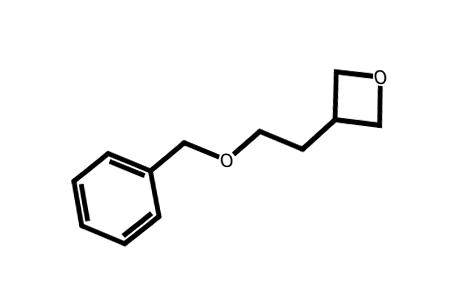 c1ccc(COCCC2COC2)cc1